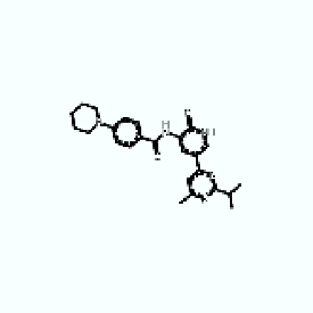 Cc1cc(-c2c[nH]c(=O)c(NC(=O)c3ccc(N4CCCCC4)cc3)c2)nc(C(C)C)n1